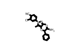 Cc1nn(-c2ccc(C#N)c(Cl)c2)c(C)c1OC(C(N)=O)c1ccccc1